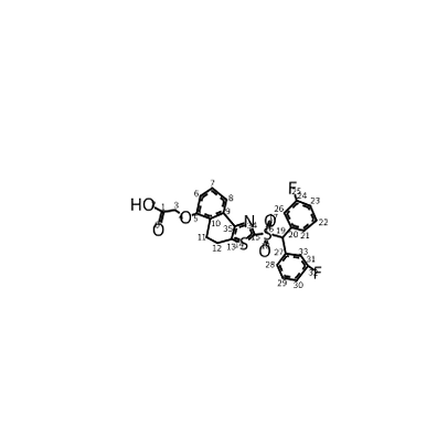 O=C(O)COc1cccc2c1CCc1sc(S(=O)(=O)C(c3cccc(F)c3)c3cccc(F)c3)nc1-2